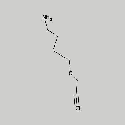 C#CCOCCCCN